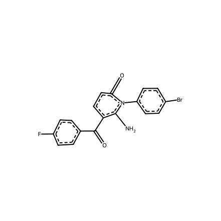 Nc1c(C(=O)c2ccc(F)cc2)ccc(=O)n1-c1ccc(Br)cc1